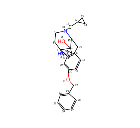 OC12CCCNCC13CCN(CC1CC1)C2Cc1ccc(OCc2ccccc2)cc13